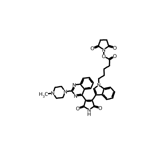 CN1CCN(c2nc(C3=C(c4cn(CCCCC(=O)ON5C(=O)CCC5=O)c5ccccc45)C(=O)NC3=O)c3ccccc3n2)CC1